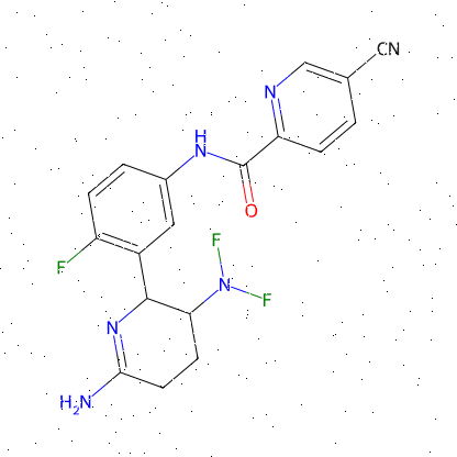 N#Cc1ccc(C(=O)Nc2ccc(F)c(C3N=C(N)CCC3N(F)F)c2)nc1